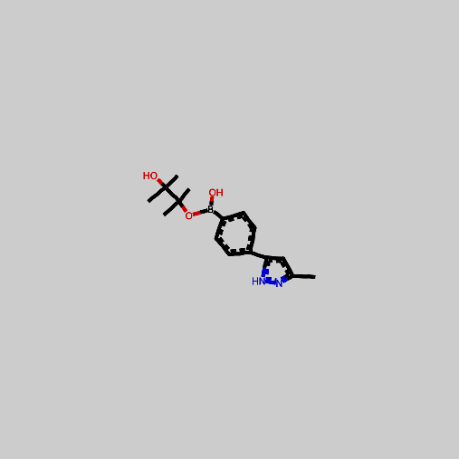 Cc1cc(-c2ccc(B(O)OC(C)(C)C(C)(C)O)cc2)[nH]n1